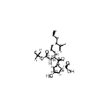 C=CCCC(C)C[C@@H](CC)[C@H](NC(=O)OC(C)(C)C)C(=O)N1C[C@H](O)C[C@H]1C(=O)O